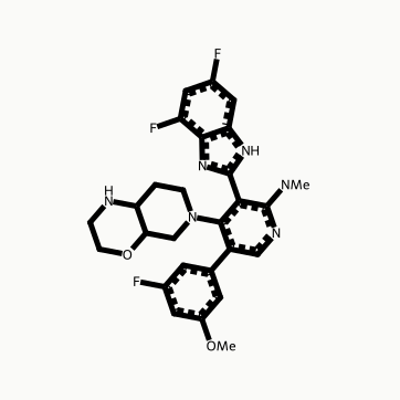 CNc1ncc(-c2cc(F)cc(OC)c2)c(N2CCC3NCCOC3C2)c1-c1nc2c(F)cc(F)cc2[nH]1